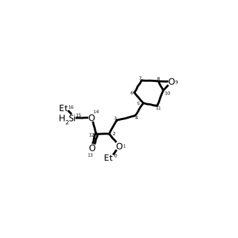 CCOC(CCC1CCC2OC2C1)C(=O)O[SiH2]CC